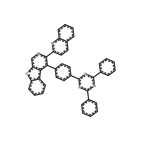 c1ccc(-c2nc(-c3ccccc3)nc(-c3ccc(-c4c(-c5ccc6ccccc6n5)ncc5oc6ccccc6c45)cc3)n2)cc1